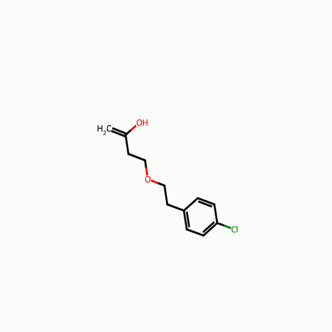 C=C(O)CCOCCc1ccc(Cl)cc1